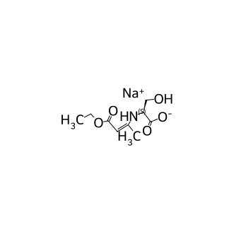 CCOC(=O)C=C(C)N[C@@H](CO)C(=O)[O-].[Na+]